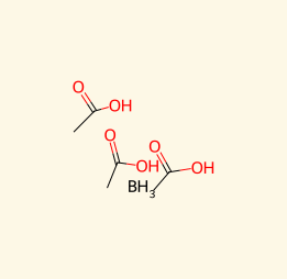 B.CC(=O)O.CC(=O)O.CC(=O)O